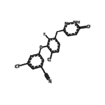 N#Cc1cc(Cl)cc(Oc2c(Cl)ccc(Cc3ccc(=O)[nH]n3)c2F)c1